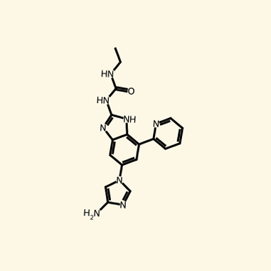 CCNC(=O)Nc1nc2cc(-n3cnc(N)c3)cc(-c3ccccn3)c2[nH]1